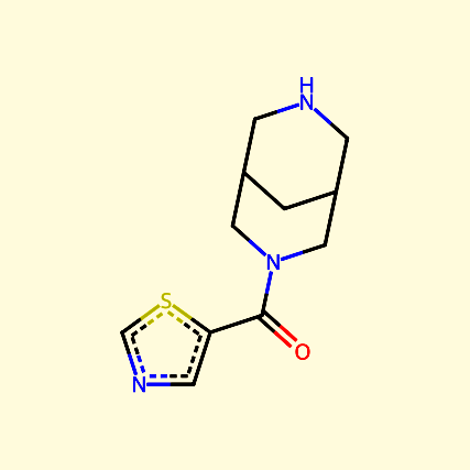 O=C(c1cncs1)N1CC2CNCC(C2)C1